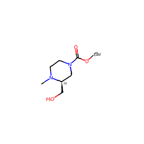 CN1CCN(C(=O)OC(C)(C)C)C[C@H]1CO